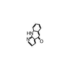 O=C1C=C2C=CC=CC2Nc2ncccc21